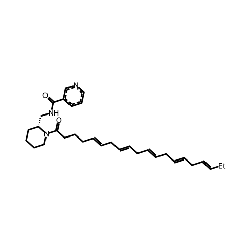 CCC=CCC=CCC=CCC=CCC=CCCCC(=O)N1CCCC[C@@H]1CNC(=O)c1cccnc1